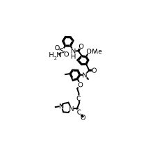 COc1cc(C(=O)N(C)c2ccc(C)cc2OCCCCC(=C=O)N2CCN(C)CC2)ccc1C(=O)Nc1ccccc1S(N)(=O)=O